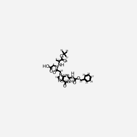 CC(NN(CC(=O)O)C(=O)Cn1cnc2c(=O)[nH]c(NC(=O)OCc3ccccc3)nc21)C(=O)OC(C)(C)C